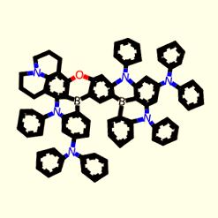 c1ccc(N(c2ccccc2)c2ccc3c(c2)N(c2ccccc2)c2c4c5c(c6c2B3c2cc3c(cc2O6)N(c2ccccc2)c2cc(N(c6ccccc6)c6ccccc6)cc6c2B3c2ccccc2N6c2ccccc2)CCCN5CCC4)cc1